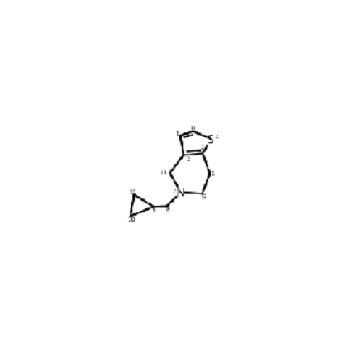 c1cc2c(s1)CCN(CC1CC1)C2